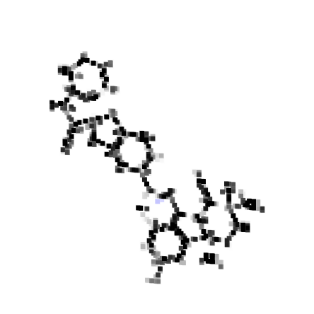 CC1(C)NC[C@@](C)(c2cc(F)cc(F)c2)N(C/C=C/c2cnc3c(c2)C[C@@]2(C3)C(=O)NC3=C2C=CCN3)C1=O